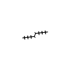 FC(C(F)C(F)(F)C(F)(F)C(F)(F)F)C(F)(F)C(F)(F)C(F)(F)F